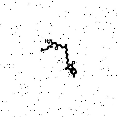 C=C(CCCCCCN1C(=C)C2C3CC(C=C3C)C2C1=O)CCC(=O)CC(N)SCCC(C)=O